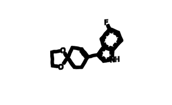 Fc1ccc2[nH]cc(C3=CCC4(CC3)OCCO4)c2c1